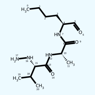 CCCC[C@@H]([C]=O)NC(=O)[C@H](C)NC(=O)[C@@H](NN)C(C)C